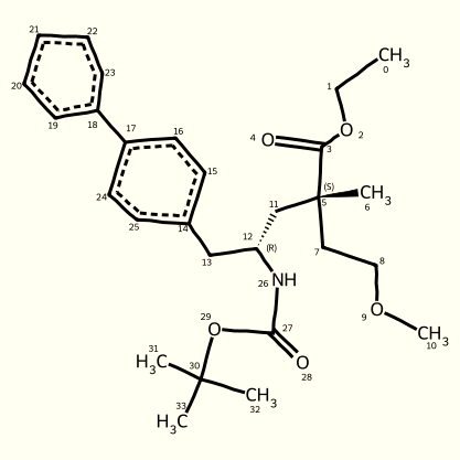 CCOC(=O)[C@](C)(CCOC)C[C@@H](Cc1ccc(-c2ccccc2)cc1)NC(=O)OC(C)(C)C